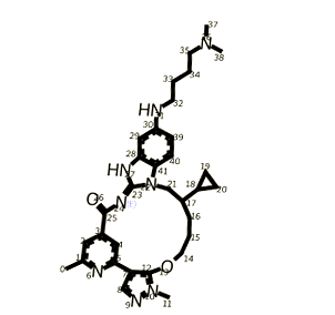 Cc1cc2cc(n1)-c1cnn(C)c1OCCCC(C1CC1)CN1/C(=N/C2=O)Nc2cc(NCCCCN(C)C)ccc21